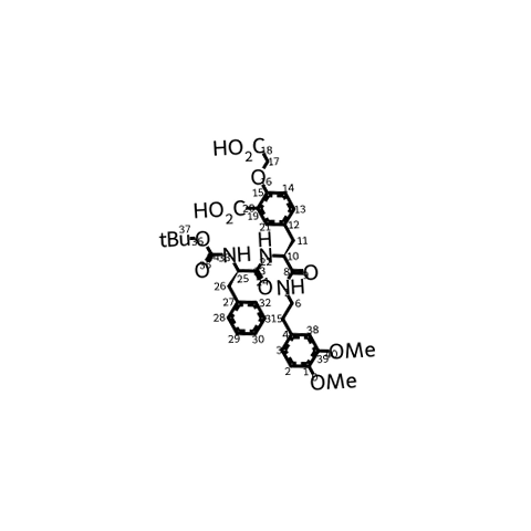 COc1ccc(CCNC(=O)[C@H](Cc2ccc(OCC(=O)O)c(C(=O)O)c2)NC(=O)[C@@H](Cc2ccccc2)NC(=O)OC(C)(C)C)cc1OC